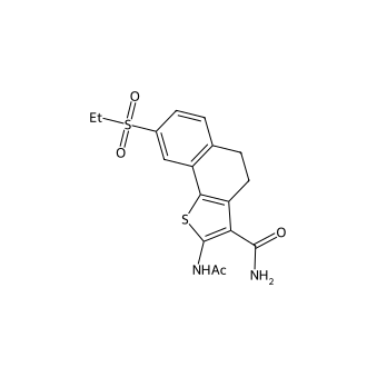 CCS(=O)(=O)c1ccc2c(c1)-c1sc(NC(C)=O)c(C(N)=O)c1CC2